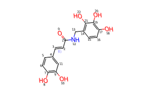 O=C(/C=C/c1ccc(O)c(O)c1)NCc1ccc(O)c(O)c1O